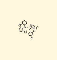 CCB(c1ccccc1Cl)c1ccccc1Cl.CCc1cnc(Cc2ccc(Cl)cc2Cl)[nH]1